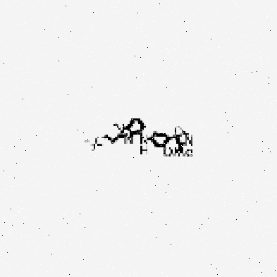 COc1cc(Nc2cccc3c2nc(CCC(F)(F)F)n3C)ccc1-c1ocnc1C